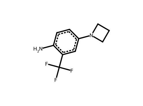 Nc1ccc(N2CCC2)cc1C(F)(F)F